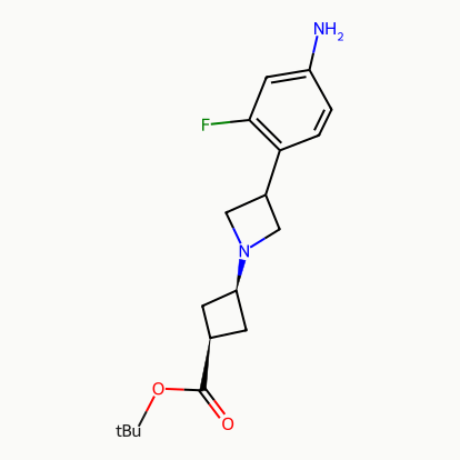 CC(C)(C)OC(=O)[C@H]1C[C@@H](N2CC(c3ccc(N)cc3F)C2)C1